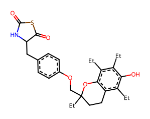 CCc1c(O)c(CC)c2c(c1CC)OC(CC)(COc1ccc(CC3NC(=O)SC3=O)cc1)CC2